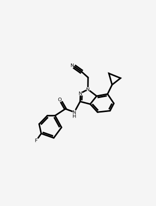 N#CCn1nc(NC(=O)c2ccc(F)cc2)c2cccc(C3CC3)c21